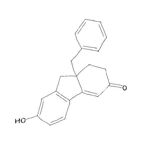 O=C1C=C2c3ccc(O)cc3CC2(Cc2ccccc2)CC1